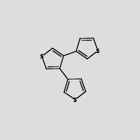 c1cc(-c2cscc2-c2ccsc2)cs1